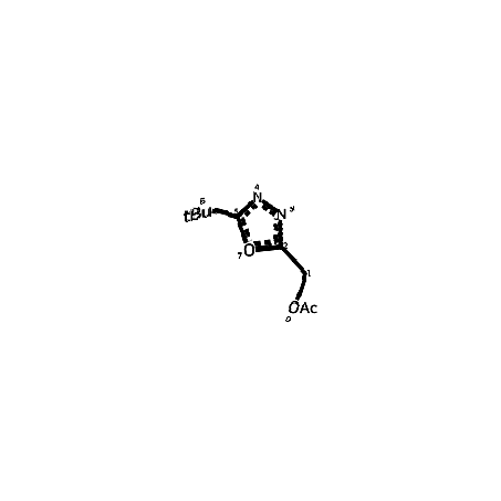 CC(=O)OCc1nnc(C(C)(C)C)o1